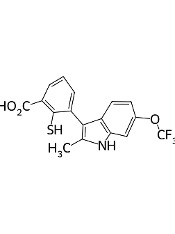 Cc1[nH]c2cc(OC(F)(F)F)ccc2c1-c1cccc(C(=O)O)c1S